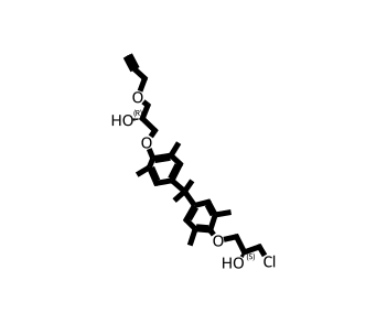 C#CCOC[C@@H](O)COc1c(C)cc(C(C)(C)c2cc(C)c(OC[C@H](O)CCl)c(C)c2)cc1C